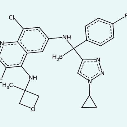 BC(Nc1cc(Cl)c2ncc(C#N)c(NC3(C)COC3)c2c1)(c1ccc(F)cc1)c1cn(C2CC2)nn1